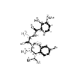 CCC(CC)[C@@H](c1ccc(F)cc1OC)[C@H](C)OC(=O)[C@H](C)NC(=O)c1nccc(OC)c1O